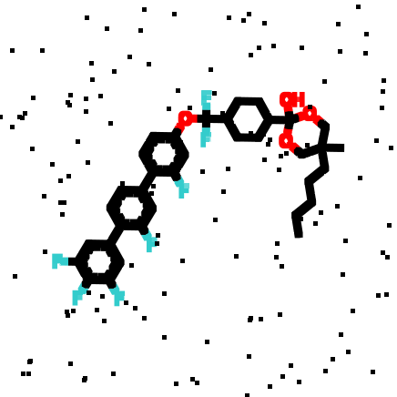 CCCCCC1(C)COC(O)(C2CCC(C(F)(F)Oc3ccc(-c4ccc(-c5cc(F)c(F)c(F)c5)c(F)c4)c(F)c3)CC2)OC1